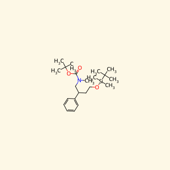 CN(CC(CCO[Si](C)(C)C(C)(C)C)c1ccccc1)C(=O)OC(C)(C)C